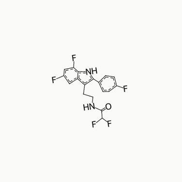 O=C(NCCc1c(-c2ccc(F)cc2)[nH]c2c(F)cc(F)cc12)C(F)F